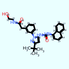 CC(C)(C)c1cc(NC(=O)Nc2cccc3ccccc23)n(-c2cccc(CC(=O)NCCO)c2)n1